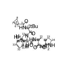 CC(C)(C)[C@H](NC(=O)C12CC(C1)C2)C(=O)N1C[C@H]2[C@@H]([C@H]1C(=O)N[C@@H](C[C@@H]1CCNC1=O)C(N)=O)[C@H]1C=C[C@@H]2C1